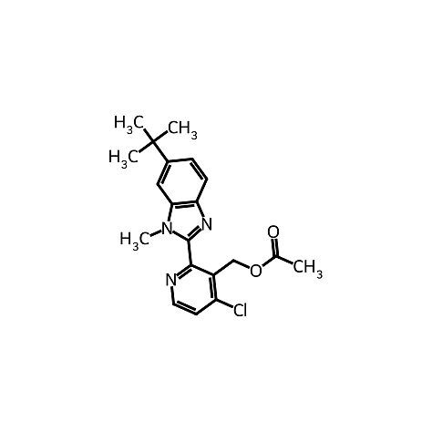 CC(=O)OCc1c(Cl)ccnc1-c1nc2ccc(C(C)(C)C)cc2n1C